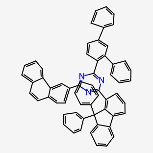 c1ccc(-c2ccc(-c3nc(-c4ccc5ccc6ccccc6c5c4)nc(-c4cccc5c4C(c4ccccc4)(c4ccccc4)c4ccccc4-5)n3)c(-c3ccccc3)c2)cc1